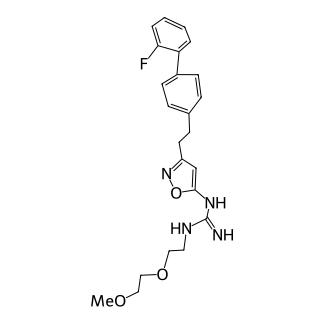 COCCOCCNC(=N)Nc1cc(CCc2ccc(-c3ccccc3F)cc2)no1